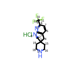 Cl.N#CC1(Cc2ccc(C(F)(F)F)nc2)CCNCC1